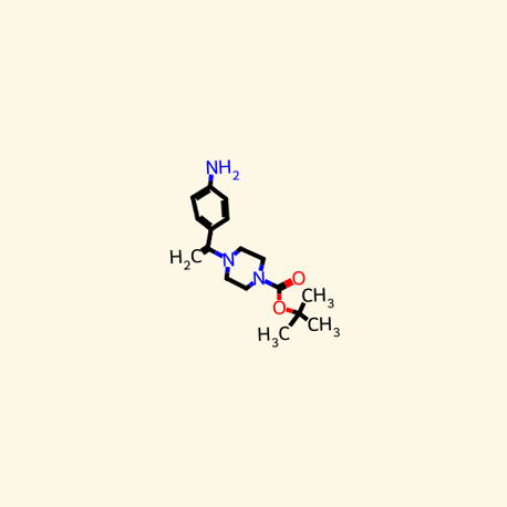 C=C(c1ccc(N)cc1)N1CCN(C(=O)OC(C)(C)C)CC1